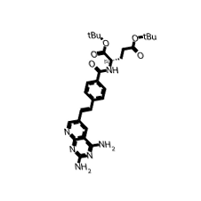 CC(C)(C)OC(=O)CC[C@H](NC(=O)c1ccc(C=Cc2cnc3nc(N)nc(N)c3c2)cc1)C(=O)OC(C)(C)C